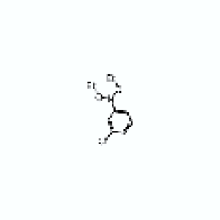 CCON(OCC)c1cccc(Cl)c1